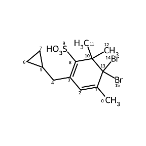 CC1=CC(CC2CC2)=C(S(=O)(=O)O)C(C)(C)C1(Br)Br